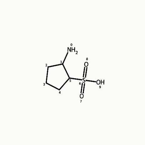 NC1CCCC1S(=O)(=O)O